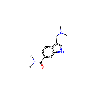 CCN(CC)C(=O)c1ccc2c(CN(C)C)c[nH]c2c1